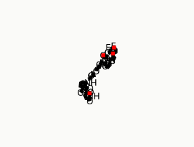 O=C(COc1c(-c2csc(N3CCOCC3)n2)ccc(F)c1F)NCCOCCOCCOCCNc1cccc2c1C(=O)N(C1CCC(=O)NC1=O)C2=O